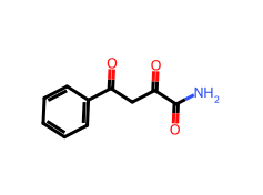 NC(=O)C(=O)CC(=O)c1ccccc1